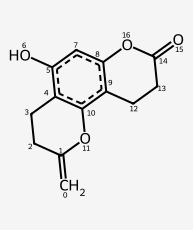 C=C1CCc2c(O)cc3c(c2O1)CCC(=O)O3